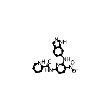 CC(Nc1ccc([N+](=O)[O-])c(Nc2ccc3cn[nH]c3c2)n1)c1ccccn1